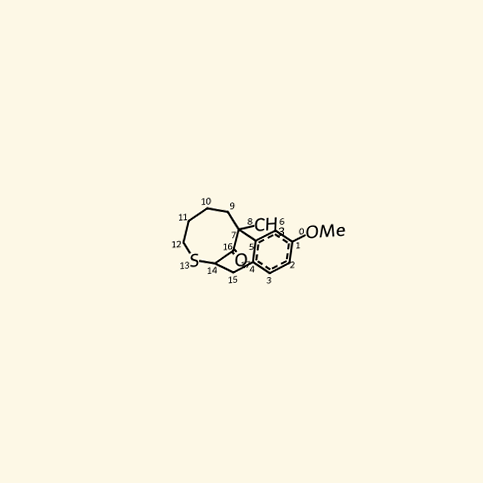 COc1ccc2c(c1)C1(C)CCCCSC(C2)C1=O